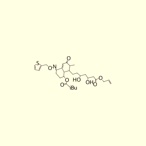 C=CCOC(=O)CC(O)CC(O)CCC1C(C)C(=O)C=C2/C(=N/OCc3cccs3)CCC(OC(=O)C(C)CC)C21